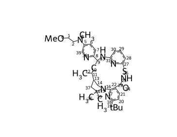 COCCN(C)c1ccc(C2CC(C)C3CN(c4nc(C(C)(C)C)ccc4C(=O)NSc4cccc(n4)N2)C(C)(C)C3)nc1